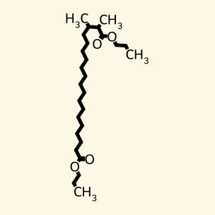 CCCOC(=O)CCCCCCCCCCCCCCCC(C)C(C)C(=O)OCCC